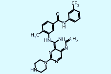 C=C/N=C1/C=NC(N2CCNCC2)=N/C1=C(/N)Nc1cc(C(=O)Nc2cccc(C(F)(F)F)c2)ccc1C